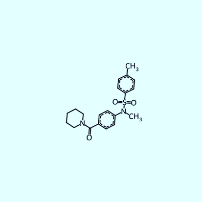 Cc1ccc(S(=O)(=O)N(C)c2ccc(C(=O)N3CCCCC3)cc2)cc1